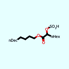 CCCCCCCCCCCCCCOC(=O)C(CCCCCC)OS(=O)(=O)O